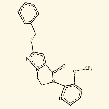 COc1cccnc1N1CCn2nc(OCc3ccccc3)cc2C1=O